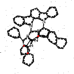 c1ccc(-c2nc(-c3ccccc3)nc(-c3cccc(-n4c5ccccc5c5ccc6c7ccccc7n(-c7nc(-c8ccccc8)nc(-c8ccc9ccccc9c8)n7)c6c54)c3)n2)cc1